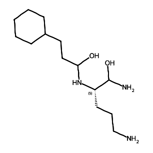 NCCC[C@H](NC(O)CCC1CCCCC1)C(N)O